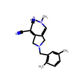 Cc1ccc(C)c(CN2CC(=C(C#N)C#N)/C(=C\N(C)C)C2)c1